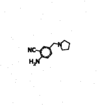 N#Cc1cc(CN2CCCC2)ccc1N